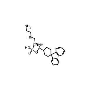 NCCNCCNC(OP(=O)(O)O)C1CCC(c2ccccc2)(c2ccccc2)CC1